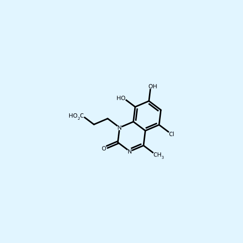 Cc1nc(=O)n(CCC(=O)O)c2c(O)c(O)cc(Cl)c12